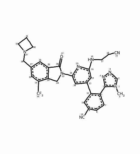 Cn1cnnc1-c1ccc(C#N)cc1-c1cc(NCCC#N)nc(N2Cc3c(cc(CN4CCC4)cc3C(F)(F)F)C2=O)c1